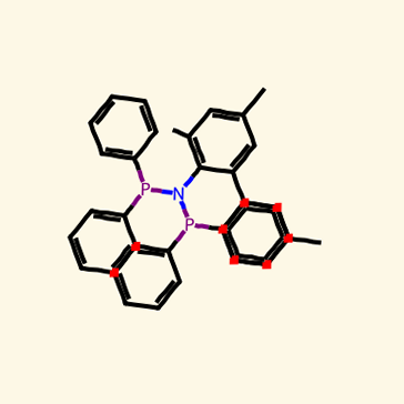 Cc1cccc(-c2cc(C)cc(C)c2N(P(c2ccccc2)c2ccccc2)P(c2ccccc2)c2ccccc2)c1